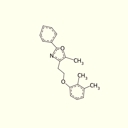 Cc1cccc(OCCc2nc(-c3ccccc3)oc2C)c1C